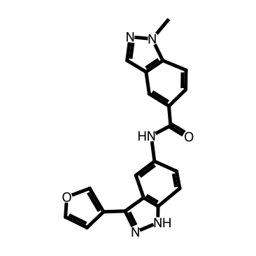 Cn1ncc2cc(C(=O)Nc3ccc4[nH]nc(-c5ccoc5)c4c3)ccc21